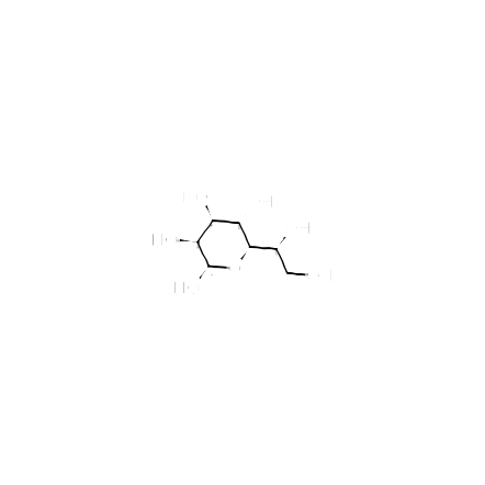 OC[C@H](O)[C@H]1O[C@@H](O)[C@@H](O)[C@@H](O)[C@@H]1O